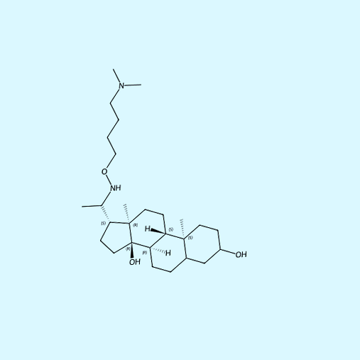 CC(NOCCCCN(C)C)[C@H]1CC[C@@]2(O)[C@@H]3CCC4CC(O)CC[C@]4(C)[C@H]3CC[C@]12C